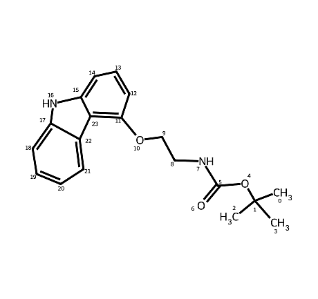 CC(C)(C)OC(=O)NCCOc1cccc2[nH]c3ccccc3c12